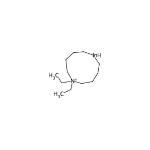 CC[N+]1(CC)CCC[CH2][InH][CH2]CCC1